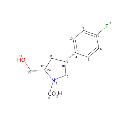 O=C(O)N1C[C@@H](c2ccc(F)cc2)C[C@H]1CO